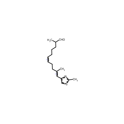 C/C(=C\c1csc(C)n1)CC/C=C\CCCC(C)C=O